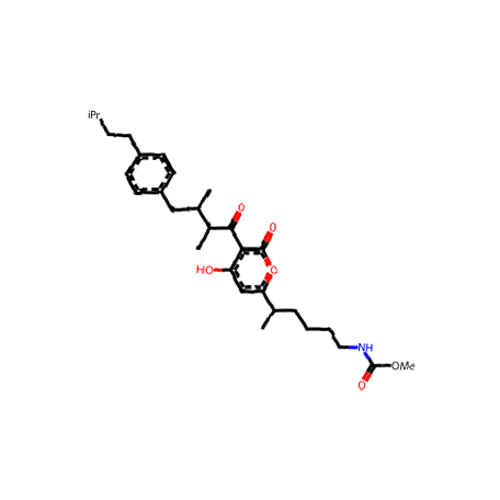 COC(=O)NCCCCC(C)c1cc(O)c(C(=O)C(C)C(C)Cc2ccc(CCC(C)C)cc2)c(=O)o1